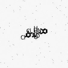 CC(=O)[C@@H](Cc1ccc(Cl)cc1Cl)NC(=O)[C@H]1Cc2ccccc2CN1